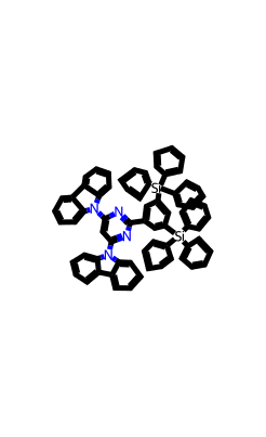 c1ccc([Si](c2ccccc2)(c2ccccc2)c2cc(-c3nc(-n4c5ccccc5c5ccccc54)cc(-n4c5ccccc5c5ccccc54)n3)cc([Si](c3ccccc3)(c3ccccc3)c3ccccc3)c2)cc1